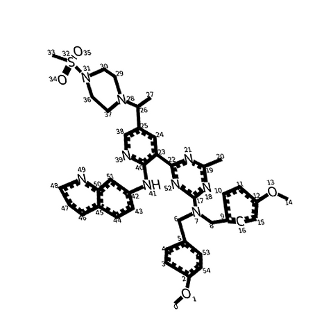 COc1ccc(CN(Cc2ccc(OC)cc2)c2nc(C)nc(-c3cc(C(C)N4CCN(S(C)(=O)=O)CC4)cnc3Nc3ccc4cccnc4c3)n2)cc1